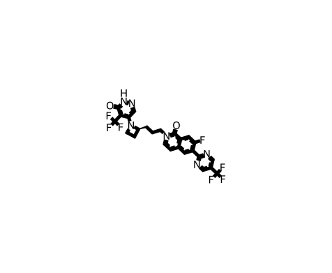 O=c1[nH]ncc(N2CC[C@@H]2CCCn2ccc3cc(-c4ncc(C(F)(F)F)cn4)c(F)cc3c2=O)c1C(F)(F)F